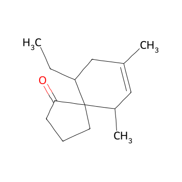 CCC1CC(C)=CC(C)C12CCCC2=O